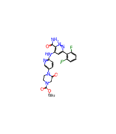 CC(C)(C)OC(=O)N1CCN(c2ccc(Nc3cc(-c4c(F)cccc4F)nnc3C(N)=O)nc2)C(=O)C1